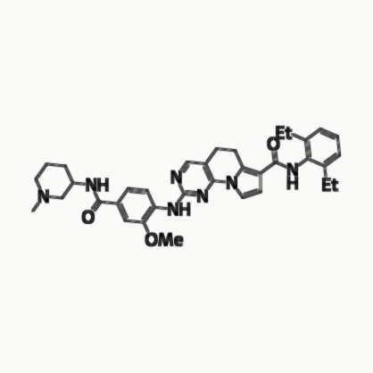 CCc1cccc(CC)c1NC(=O)c1ccn2c1CCc1cnc(Nc3ccc(C(=O)NC4CCCN(C)C4)cc3OC)nc1-2